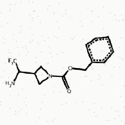 NC(C1CN(C(=O)OCc2ccccc2)C1)C(F)(F)F